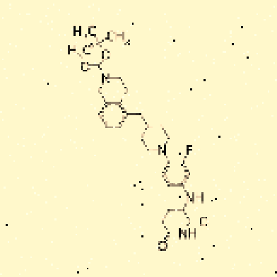 CC(C)(C)OC(=O)N1CCc2c(CC3CCN(c4ccc(NC5CCC(=O)NC5=O)cc4F)CC3)cccc2C1